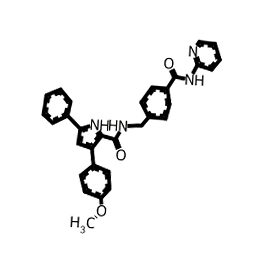 COc1ccc(-c2cc(-c3ccccc3)[nH]c2C(=O)NCc2ccc(C(=O)Nc3ccccn3)cc2)cc1